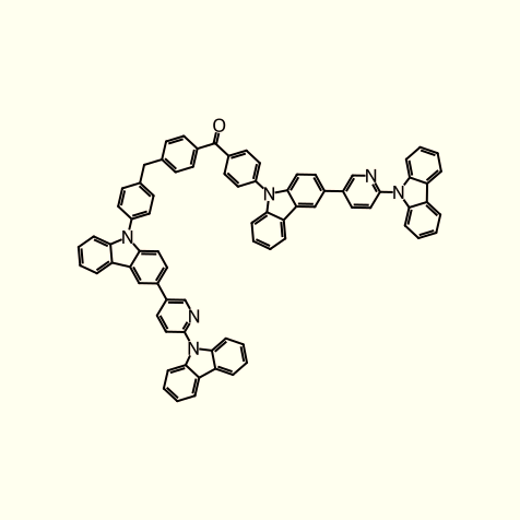 O=C(c1ccc(Cc2ccc(-n3c4ccccc4c4cc(-c5ccc(-n6c7ccccc7c7ccccc76)nc5)ccc43)cc2)cc1)c1ccc(-n2c3ccccc3c3cc(-c4ccc(-n5c6ccccc6c6ccccc65)nc4)ccc32)cc1